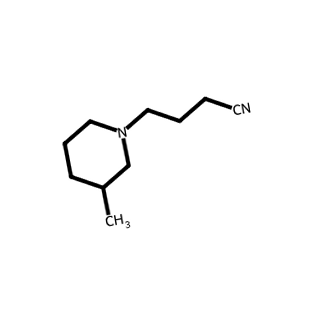 CC1CCCN(CCCC#N)C1